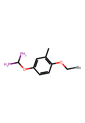 CCC(C)COc1ccc(OC(P)P)cc1C